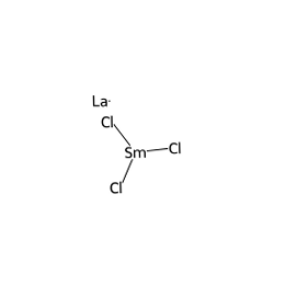 [Cl][Sm]([Cl])[Cl].[La]